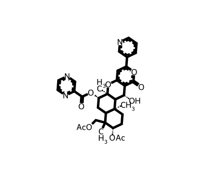 CC(=O)OCC1(C)C2C[C@H](OC(=O)c3cnccn3)[C@@]3(C)Oc4cc(-c5cccnc5)oc(=O)c4[C@H](O)C3[C@@]2(C)CC[C@@H]1OC(C)=O